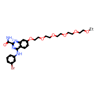 CCOCCOCCOCCOCCOCCOc1[c]cc2c(Nc3cccc(Br)c3)nc(C(N)=O)nc2c1